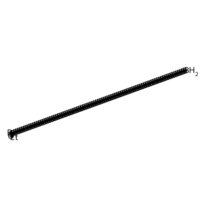 B#S(=BB=BB=BB=BB=BB=BB=BB=BB=BB=BB=BB=BB=BB=BB=BB=BB=BB=BB=BB=BB=BB=BB=BB=BB=BB=BB=BB=BB=BB=BB=BB=BB=BB=BB=BB=BB=BB=BB=BB=BB=BB=BB=BB=BB=BB=BB)OCC